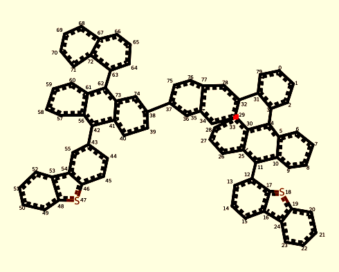 c1ccc(-c2c3ccccc3c(-c3cccc4c3sc3ccccc34)c3ccccc23)c(-c2ccc3cc(-c4ccc5c(-c6ccc7sc8ccccc8c7c6)c6ccccc6c(-c6cccc7ccccc67)c5c4)ccc3c2)c1